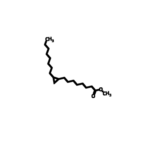 CCCCCCCCC1CC1CCCCCCCC(=O)OC